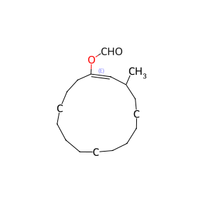 CC1/C=C(/OC=O)CCCCCCCCCCCC1